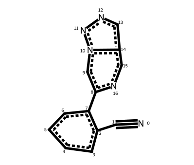 N#Cc1ccccc1-c1cn2nncc2cn1